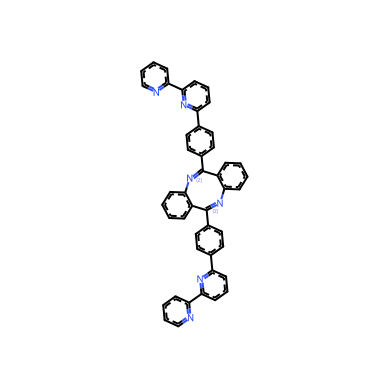 c1ccc(-c2cccc(-c3ccc(/C4=N/c5ccccc5/C(c5ccc(-c6cccc(-c7ccccn7)n6)cc5)=N\c5ccccc54)cc3)n2)nc1